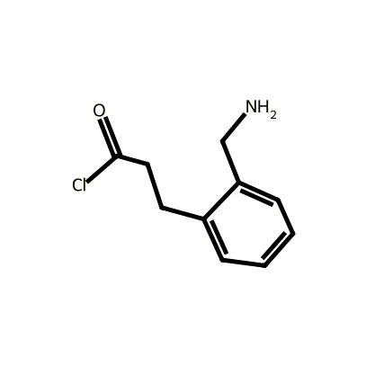 NCc1ccccc1CCC(=O)Cl